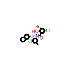 Cc1ccc(Oc2ccc3ccccc3c2Cl)c(NC(=O)c2cc(Cl)cc(Br)c2O)c1